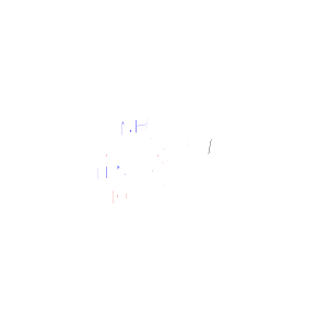 CCOC(=O)C(N)(CC(N)=O)C(=O)O